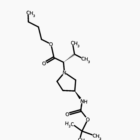 CCCCOC(=O)[C@H](C(C)C)N1CC[C@H](NC(=O)OC(C)(C)C)C1